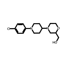 OCC1CN(C2CCN(c3ccc(Cl)cc3)CC2)CCO1